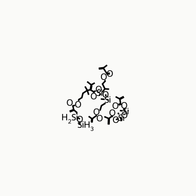 C=C(C)C(=O)OCCC[Si](C)(C)O[Si](C)(OC(=O)C(=C(C)C)C(C)(C)CCCOC(=O)C(=C)C[SiH2]O[SiH3])C(C)CCOC(=O)C(=C)C.C=C(C)C(=O)O[Si](C)(C)O[Si](C)(C)OC(=O)C(=C)C